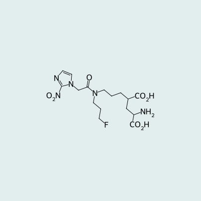 NC(CC(CCCN(CCCF)C(=O)Cn1ccnc1[N+](=O)[O-])C(=O)O)C(=O)O